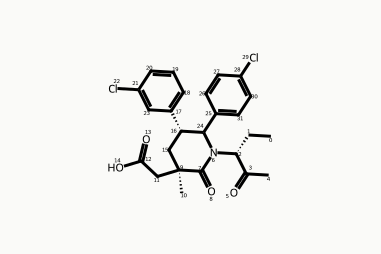 CC[C@H](C(C)=O)N1C(=O)[C@@](C)(CC(=O)O)C[C@H](c2cccc(Cl)c2)C1c1ccc(Cl)cc1